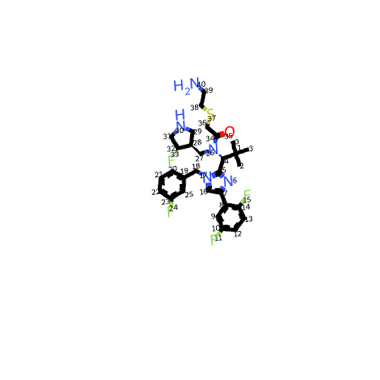 CC(C)(C)[C@H](c1nc(-c2cc(F)ccc2F)cn1Cc1cccc(F)c1)N(C[C@@H]1CNC[C@@H]1F)C(=O)CSCCN